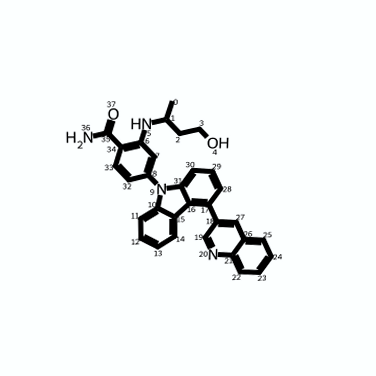 CC(CCO)Nc1cc(-n2c3ccccc3c3c(-c4cnc5ccccc5c4)cccc32)ccc1C(N)=O